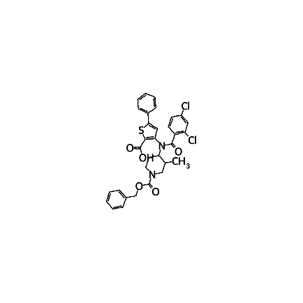 CC1CN(C(=O)OCc2ccccc2)CCC1N(C(=O)c1ccc(Cl)cc1Cl)c1cc(-c2ccccc2)sc1C(=O)O